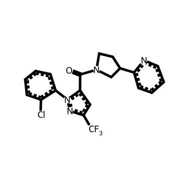 O=C(c1cc(C(F)(F)F)nn1-c1ccccc1Cl)N1CCC(c2ccccn2)C1